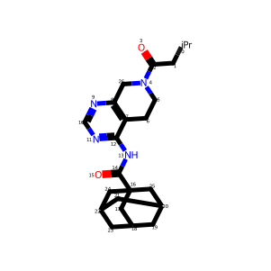 CC(C)CC(=O)N1CCc2c(ncnc2NC(=O)C23CC4CC(CC(C4)C2)C3)C1